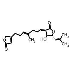 CC(C)=C[C@H]1OC(=O)/C(=C/CC/C(C)=C/CCC2=CC(=O)OC2)[C@@H]1O